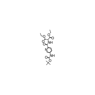 CCOC(=O)C(NC(=O)c1ccc(NC(=O)OC(C)(C)C)cn1)C(=O)OCC